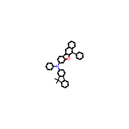 CC1(C)c2ccccc2-c2ccc(N(c3ccccc3)c3ccc4c(c3)oc3c(-c5ccccc5)c5ccccc5cc34)cc21